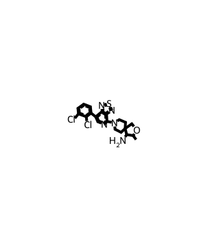 CC1OCC2(CCN(c3ncc(-c4cccc(Cl)c4Cl)c4nsnc34)CC2)C1N